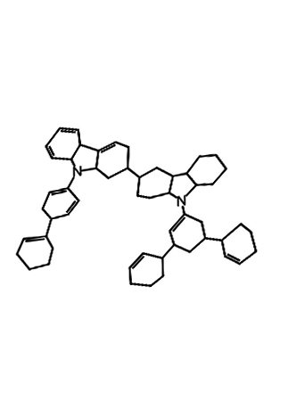 C1=CC2C3=CCC(C4CCC5C(C4)C4CCCCC4N5C4=CC(C5C=CCCC5)CC(C5C=CCCC5)C4)CC3N(C3=CCC(C4=CCCCC4)C=C3)C2C=C1